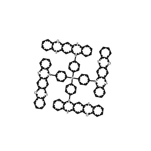 c1ccc2sc3cc4c(cc3oc2c1)sc1ccccc1n4-c1ccc([Si](c2ccc(-n3c4ccccc4sc4cc5oc6ccccc6sc5cc43)cc2)(c2ccc(-n3c4ccccc4sc4cc5oc6ccccc6sc5cc43)cc2)c2ccc(-n3c4ccccc4sc4cc5oc6ccccc6sc5cc43)cc2)cc1